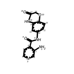 Nc1cnccc1C(=O)Nc1ccc2c(c1)NC(=O)CO2